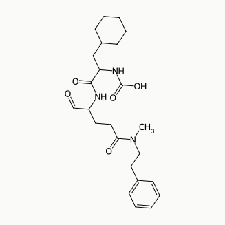 CN(CCc1ccccc1)C(=O)CCC(C=O)NC(=O)C(CC1CCCCC1)NC(=O)O